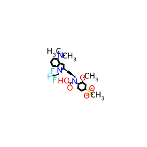 COc1cc(S(C)(=O)=O)ccc1N(CC#Cc1cc2c(N(C)C)cccc2n1CC(F)(F)F)C(=O)O